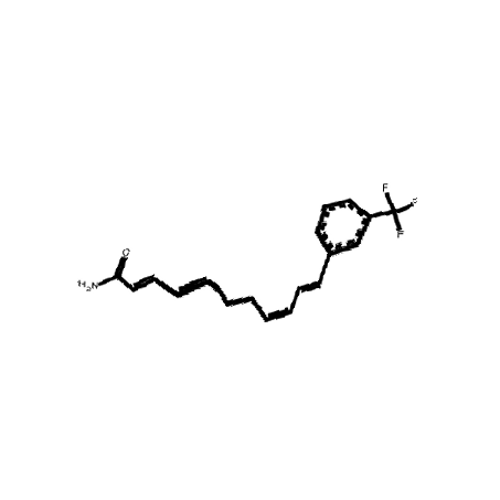 NC(=O)/C=C/C=C/CC/C=C\C=C\c1cccc(C(F)(F)F)c1